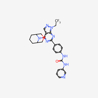 O=C(Nc1ccc(-c2nc(N3C4CCCC3COC4)c3cnn(CC(F)(F)F)c3n2)cc1)Nc1cccnc1